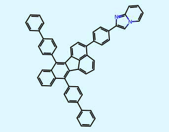 c1ccc(-c2ccc(-c3c4c(c(-c5ccc(-c6ccccc6)cc5)c5ccccc35)-c3ccc(-c5ccc(-c6cn7ccccc7n6)cc5)c5cccc-4c35)cc2)cc1